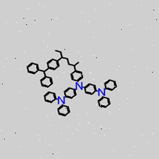 CCC(CCC(C)c1ccc(N(c2ccc(N(c3ccccc3)c3ccccc3)cc2)c2ccc(N(c3ccccc3)c3ccccc3)cc2)cc1)c1ccc(C(c2ccccc2)c2ccccc2)cc1